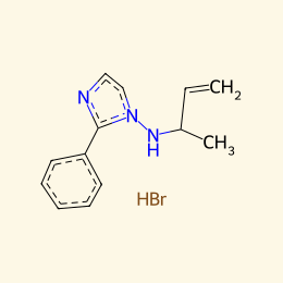 Br.C=CC(C)Nn1ccnc1-c1ccccc1